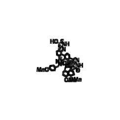 COc1ccc(CN(Cc2ccc(OC)cc2)S(=O)(=O)c2c(-c3cnc(NC(=O)OC(C)(C)C)s3)ccc(-c3cccc4sc(NC(=O)O)nc34)c2-c2nnn(Cc3ccc(OC)cc3)n2)cc1